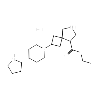 CCOC(=O)C1CNCC12CC(N1CCC([C@@H]3CCCN3)CC1)C2.Cl